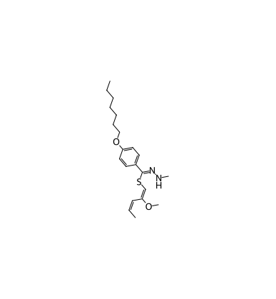 C/C=C\C(=C/S/C(=N\NC)c1ccc(OCCCCCCC)cc1)OC